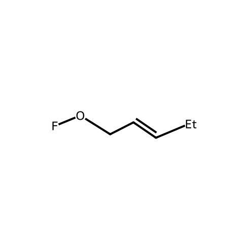 CCC=CCOF